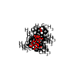 CC(C)(C)c1ccc(OP(Oc2ccc(C(C)(C)C)c(-c3cccc(C(C)(C)C)c3C(C)(C)C)c2-c2cccc(C(C)(C)C)c2C(C)(C)C)Oc2ccc(C(C)(C)C)c(-c3cccc(C(C)(C)C)c3C(C)(C)C)c2-c2cccc(C(C)(C)C)c2C(C)(C)C)c(-c2cccc(C(C)(C)C)c2C(C)(C)C)c1-c1cccc(C(C)(C)C)c1C(C)(C)C